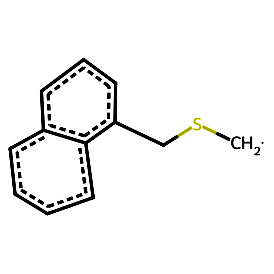 [CH2]SCc1cccc2ccccc12